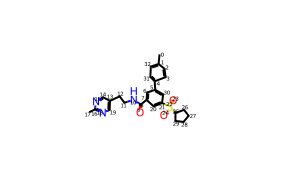 Cc1ccc(-c2cc(C(=O)NCCc3cnc(C)nc3)cc(S(=O)(=O)C3CCCC3)c2)cc1